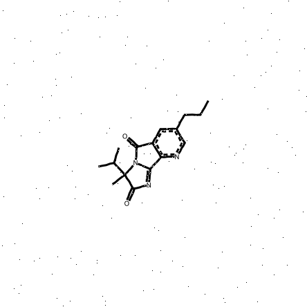 CCCc1cnc2c(c1)C(=O)N1C2=NC(=O)C1(C)C(C)C